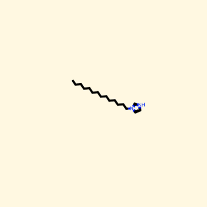 CCCCCCCCCCCCCC[n+]1cc[nH]c1